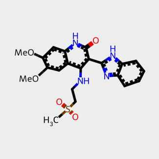 COc1cc2[nH]c(=O)c(-c3nc4ccccc4[nH]3)c(NCCS(C)(=O)=O)c2cc1OC